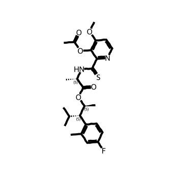 COc1ccnc(C(=S)N[C@@H](C)C(=O)O[C@@H](C)[C@H](c2ccc(F)cc2C)C(C)C)c1OC(C)=O